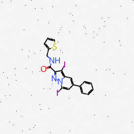 O=C(NCc1cccs1)c1nn2c(I)cc(-c3ccccc3)cc2c1I